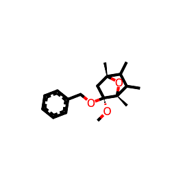 CO[C@]1(OCc2ccccc2)C[C@@]2(C)O[C@]1(C)C(C)C2C